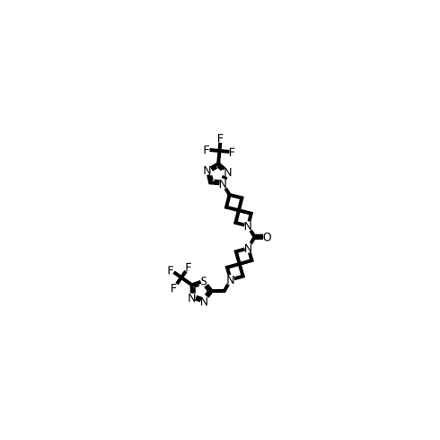 O=C(N1CC2(CC(n3cnc(C(F)(F)F)n3)C2)C1)N1CC2(CN(Cc3nnc(C(F)(F)F)s3)C2)C1